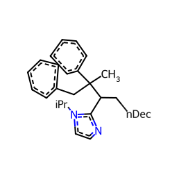 CCCCCCCCCCCC(c1nccn1C(C)C)C(C)(Cc1ccccc1)c1ccccc1